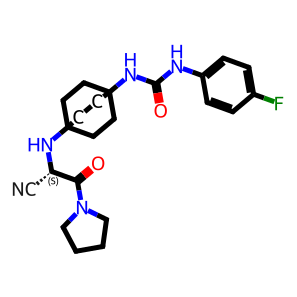 N#C[C@H](NC12CCC(NC(=O)Nc3ccc(F)cc3)(CC1)CC2)C(=O)N1CCCC1